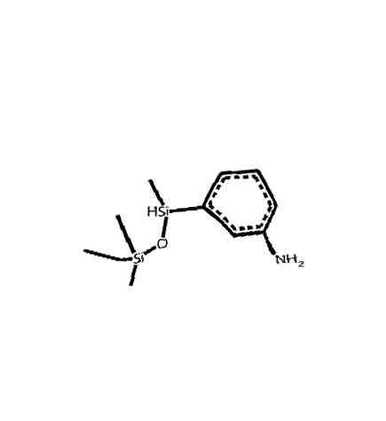 C[SiH](O[Si](C)(C)C)c1cccc(N)c1